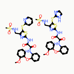 COc1ccccc1Oc1ccccc1NC(=O)C(=O)Nc1nc(CNS(C)(=O)=O)c(Sc2ccccn2)s1.COc1ccccc1Oc1ccccc1NC(=O)C(=O)Nc1nc(CNS(C)(=O)=O)c(Sc2ncc[nH]2)s1